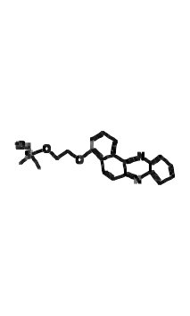 CC(C)(C)[Si](C)(C)OCCOc1cccc2c1ccc1nc3ccccc3nc12